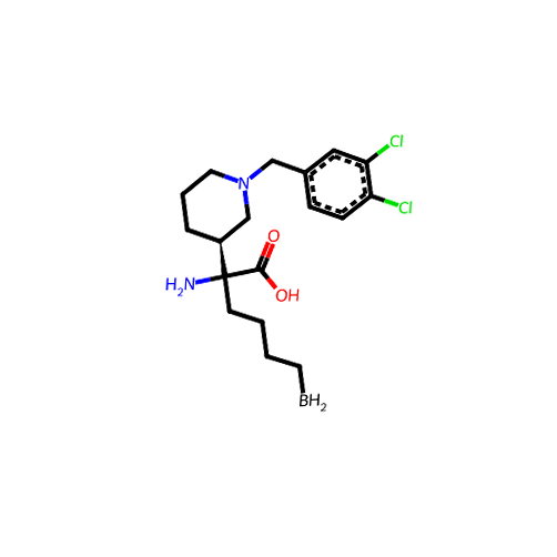 BCCCCC(N)(C(=O)O)[C@H]1CCCN(Cc2ccc(Cl)c(Cl)c2)C1